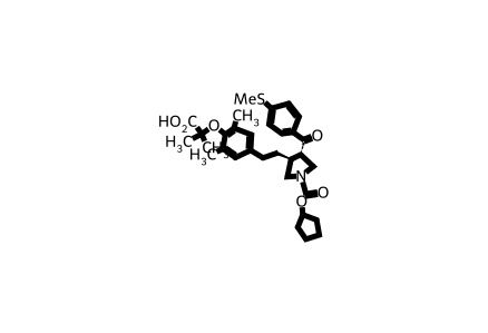 CSc1ccc(C(=O)[C@@H]2CN(C(=O)OC3CCCC3)C[C@H]2CCc2cc(C)c(OC(C)(C)C(=O)O)c(C)c2)cc1